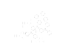 CC(C)(C)c1ccc(N2c3ccc(C(C)(C)C)cc3B3c4ccc(N(c5ccccc5)c5ccccc5)cc4N(c4ccc5c(c4)-c4ccccc4C54c5ccccc5-c5ccccc54)c4cc(C(C)(C)C)cc2c43)cc1